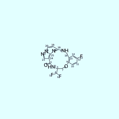 O=C1NC(C(F)F)COc2ccc(F)cc2CNc2ccn3ncc1c3n2